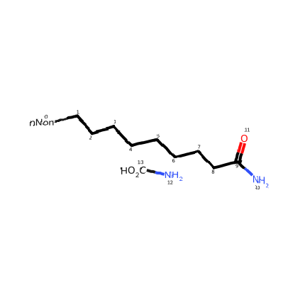 CCCCCCCCCCCCCCCCCC(N)=O.NC(=O)O